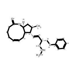 C[C@@H]1C[C@@H]2OC(=O)CCC/C=C\CC2[C@H]1/C=C/[C@H](COc1ccccc1)OPP